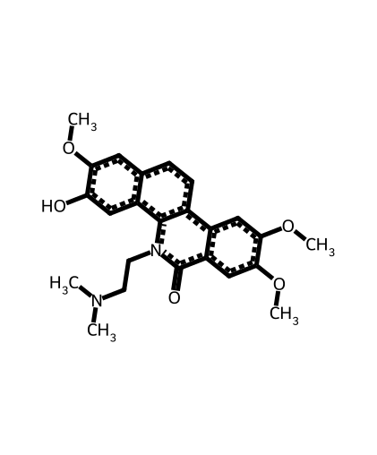 COc1cc2ccc3c4cc(OC)c(OC)cc4c(=O)n(CCN(C)C)c3c2cc1O